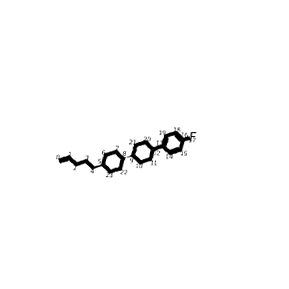 C=CCCC[C@H]1CC[C@H](C2CCC(c3ccc(F)cc3)CC2)CC1